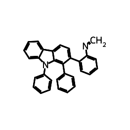 C=Nc1ccccc1-c1ccc2c3ccccc3n(-c3ccccc3)c2c1-c1ccccc1